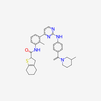 C=C(c1ccc(Nc2nccc(-c3cccc(NC(=O)C4CC5=C(CCCC5)S4)c3C)n2)cc1)N1CCCC(C)C1